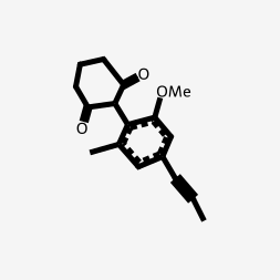 CC#Cc1cc(C)c(C2C(=O)CCCC2=O)c(OC)c1